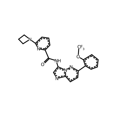 O=C(Nc1cnc2ccc(-c3ccccc3OC(F)(F)F)nn12)c1cccc(N2CCC2)n1